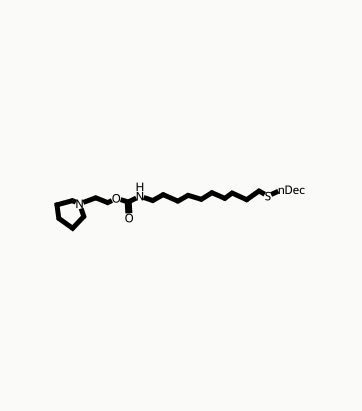 CCCCCCCCCCSCCCCCCCCCCNC(=O)OCCN1CCCCC1